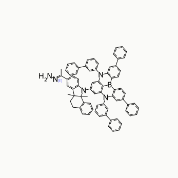 C/C(=N\N)c1ccc2c(c1)C1(C)CCc3ccccc3C1(C)N2c1cc2c3c(c1)N(c1cccc(-c4ccccc4)c1)c1cc(-c4ccccc4)ccc1B3c1ccc(-c3ccccc3)cc1N2c1cccc(-c2ccccc2)c1